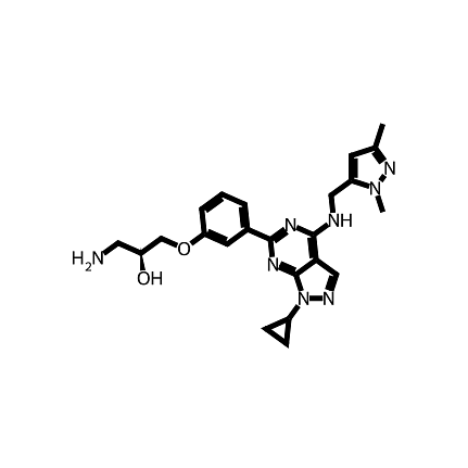 Cc1cc(CNc2nc(-c3cccc(OC[C@@H](O)CN)c3)nc3c2cnn3C2CC2)n(C)n1